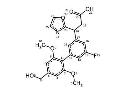 COc1cc(CO)cc(OC)c1-c1cc(F)cc(C(CC(=O)O)c2ncco2)c1